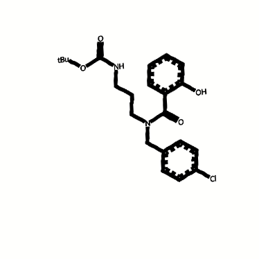 CC(C)(C)OC(=O)NCCCN(Cc1ccc(Cl)cc1)C(=O)c1ccccc1O